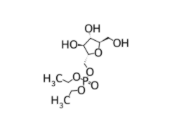 CCOP(=O)(OCC)OC[C@H]1O[C@H](CO)[C@@H](O)[C@@H]1O